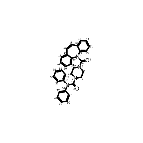 O=C(N1CCN(C(=O)N2c3ccccc3C=Cc3ccccc32)CC1)N(c1ccccc1)c1ccccc1